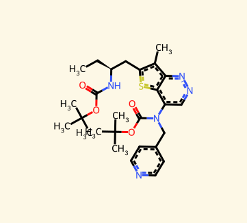 CC[C@@H](Cc1sc2c(N(Cc3ccncc3)C(=O)OC(C)(C)C)cnnc2c1C)NC(=O)OC(C)(C)C